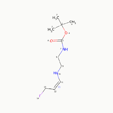 CC(C)(C)OC(=O)NCCN/C=C\CI